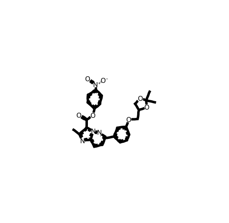 Cc1nc2ccc(-c3cccc(OCC4COC(C)(C)O4)c3)nn2c1C(=O)Oc1ccc([N+](=O)[O-])cc1